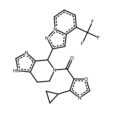 O=C(c1ocnc1C1CC1)N1CCc2[nH]cnc2C1c1cc2c(C(F)(F)F)cccn2n1